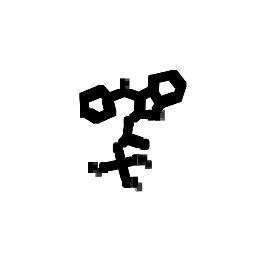 CC(C)(C)OC(=O)Oc1[nH]c2ccccc2c1Nc1ccncc1